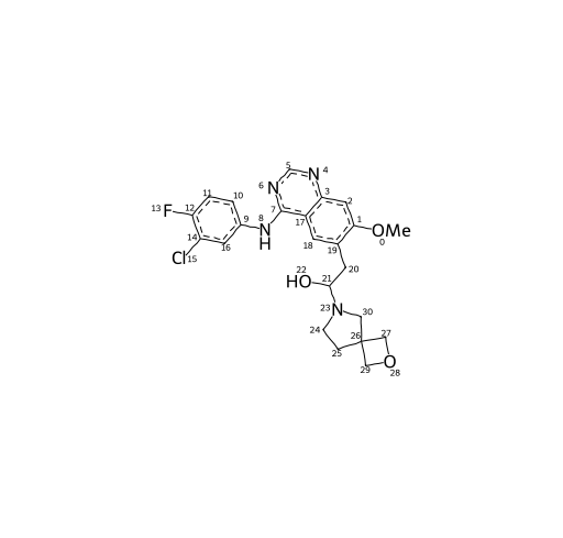 COc1cc2ncnc(Nc3ccc(F)c(Cl)c3)c2cc1CC(O)N1CCC2(COC2)C1